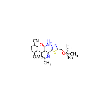 COc1ccc(C#N)cc1-c1cc(C)nc(-c2nnc(CO[Si](C)(C)C(C)(C)C)s2)c1C(N)=O